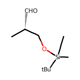 C[C@H](C=O)CO[Si](C)(C)C(C)(C)C